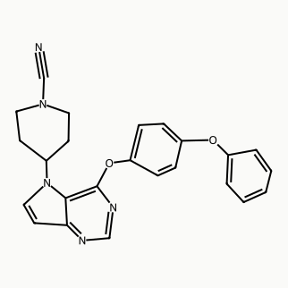 N#CN1CCC(n2ccc3ncnc(Oc4ccc(Oc5ccccc5)cc4)c32)CC1